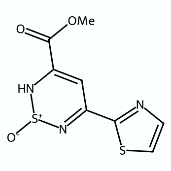 COC(=O)C1=CC(c2nccs2)=N[S+]([O-])N1